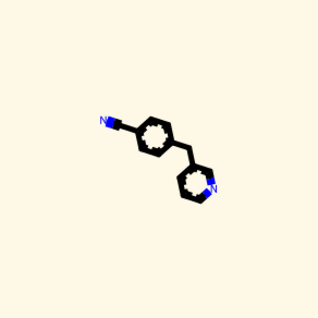 N#Cc1ccc(Cc2cccnc2)cc1